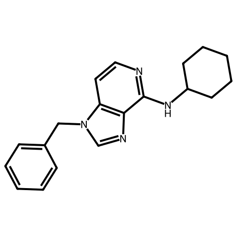 c1ccc(Cn2cnc3c(NC4CCCCC4)nccc32)cc1